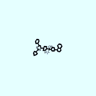 CC(C)(c1ccc(-c2cc(-c3ccccc3)nc(-c3ccccc3)n2)cc1)c1ccc(-c2cccc3ccccc23)cc1